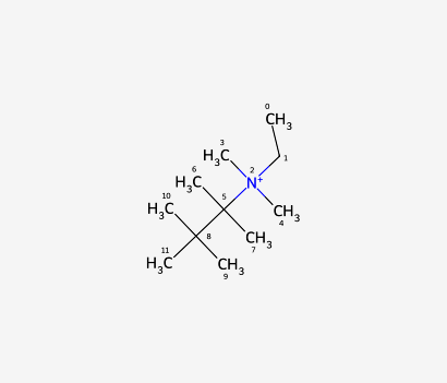 CC[N+](C)(C)C(C)(C)C(C)(C)C